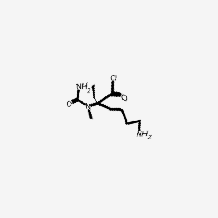 CN(C(N)=O)[C@@](C)(CCCCN)C(=O)Cl